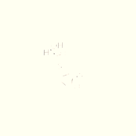 O=C(CSCc1ccc2c(c1)OCO2)NO